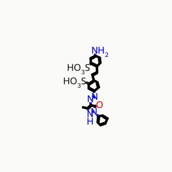 Cc1[nH]n(-c2ccccc2)c(=O)c1N=Nc1ccc(C=Cc2ccc(N)cc2S(=O)(=O)O)c(S(=O)(=O)O)c1